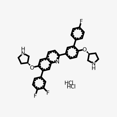 Cl.Cl.Fc1ccc(-c2cc(-c3ccc4cc(O[C@H]5CCNC5)c(-c5ccc(F)c(F)c5)cc4n3)ccc2O[C@H]2CCNC2)cc1